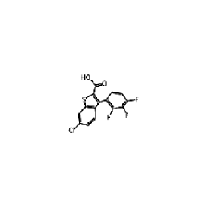 O=C(O)c1sc2cc(Cl)ccc2c1-c1ccc(F)c(F)c1F